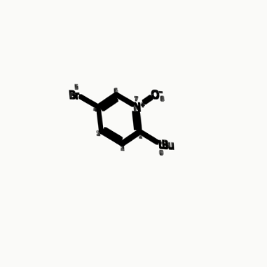 CC(C)(C)c1ccc(Br)c[n+]1[O-]